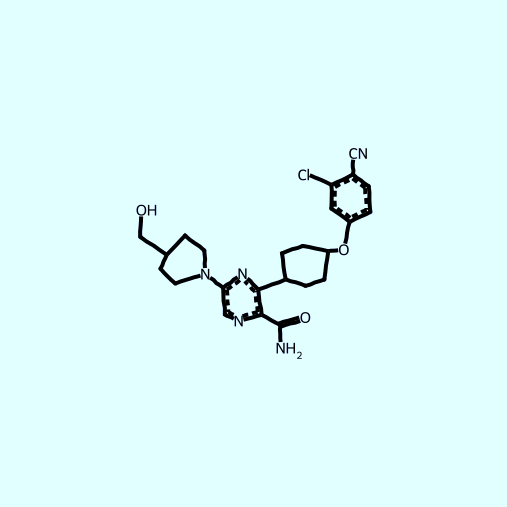 N#Cc1ccc(OC2CCC(c3nc(N4CCC(CO)CC4)cnc3C(N)=O)CC2)cc1Cl